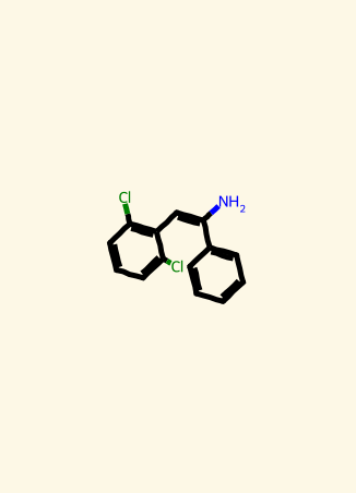 N/C(=C/c1c(Cl)cccc1Cl)c1ccccc1